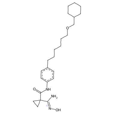 N/C(=N\O)C1(C(=O)Nc2ccc(CCCCCCOCC3CCCCC3)cc2)CC1